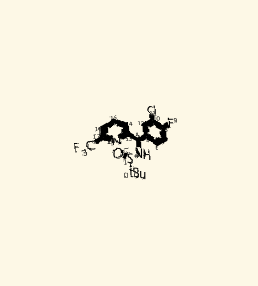 CC(C)(C)[S@@+]([O-])NC(c1ccc(F)c(Cl)c1)c1cccc(C(F)(F)F)n1